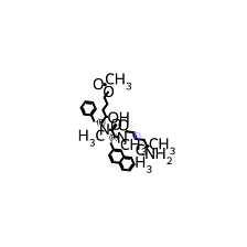 CC(=O)OCCCC(O)[C@@H](Cc1ccccc1)N(C)C(=O)[C@@H](Cc1ccc2ccccc2c1)N(C)C(=O)/C=C/CC(C)(C)N